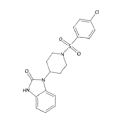 O=c1[nH]c2ccccc2n1C1CCN(S(=O)(=O)c2ccc(Cl)cc2)CC1